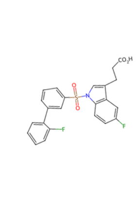 O=C(O)CCc1cn(S(=O)(=O)c2cccc(-c3ccccc3F)c2)c2ccc(F)cc12